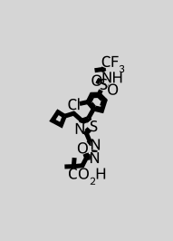 CC(NS(=O)(=O)c1ccc(-c2sc(-c3nnc(CC(C)(C)C(=O)O)o3)nc2CC2CCC2)c(Cl)c1)C(F)(F)F